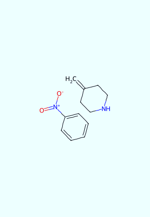 C=C1CCNCC1.O=[N+]([O-])c1ccccc1